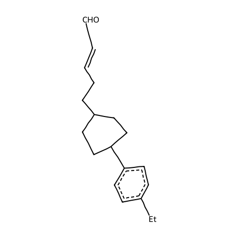 CCc1ccc(C2CCC(CCC=CC=O)CC2)cc1